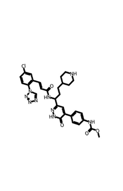 COC(=O)Nc1ccc(-c2cc(C(CCC3CCNCC3)NC(=O)/C=C/c3cc(Cl)ccc3-n3cnnn3)n[nH]c2=O)cc1